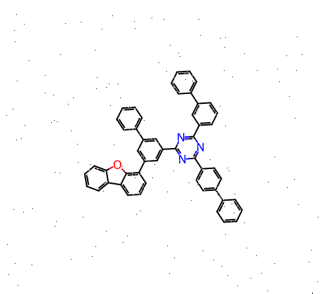 c1ccc(-c2ccc(-c3nc(-c4cccc(-c5ccccc5)c4)nc(-c4cc(-c5ccccc5)cc(-c5cccc6c5oc5ccccc56)c4)n3)cc2)cc1